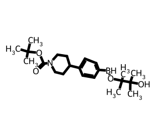 CC(C)(C)OC(=O)N1CCC(c2ccc(BOC(C)(C)C(C)(C)O)cc2)CC1